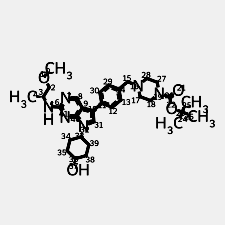 COC[C@H](C)Nc1ncc2c(-c3ccc(CN4CCN(C(=O)OC(C)(C)C)CC4)cc3)cn([C@H]3CC[C@H](O)CC3)c2n1